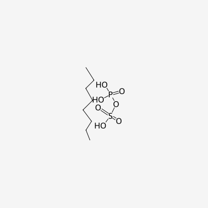 CCCCCCCC.O=P(O)(O)OS(=O)(=O)O